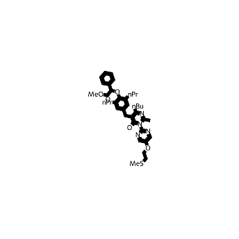 CCCCc1nc(C)n(-c2ncc(OCCSC)cn2)c(=O)c1Cc1cc(CCC)c(OC(C(=O)OC)c2ccccc2)c(CCC)c1